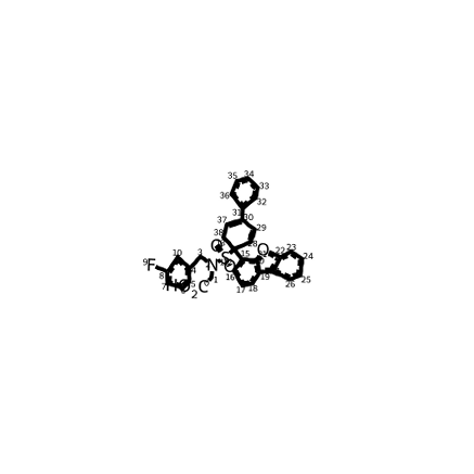 O=C(O)CN(Cc1cccc(F)c1)S(=O)(=O)C1(c2cccc3c2oc2ccccc23)C=CC(c2ccccc2)=CC1